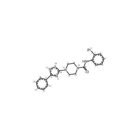 CC(C)c1ccccc1NC(=O)N1CCN(c2nc(-c3ccccc3)ns2)CC1